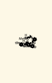 CNNC(=O)CCC(C)SSc1ccccc1CC(=O)N1CC2C(CCC3(C)C(C(=O)Nc4cc(C(C)(C)C)ccc4C(C)(C)C)CCC23)C2(C)CCC(=O)C=C12